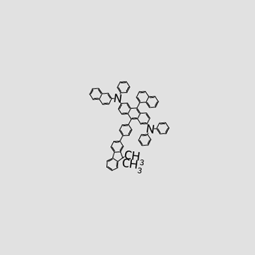 CC1(C)c2ccccc2-c2ccc(-c3ccc(-c4c5cc(N(c6ccccc6)c6ccccc6)ccc5c(-c5cccc6ccccc56)c5cc(N(c6ccccc6)c6ccc7ccccc7c6)ccc45)cc3)cc21